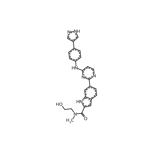 CN(CCO)C(=O)c1cc2ccc(-c3nccc(Nc4ccc(-c5cn[nH]c5)cc4)n3)cc2[nH]1